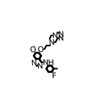 COc1cc2ncnc(Nc3ccc(F)c(C)c3)c2cc1OCCCN1CCn2cnnc2C1